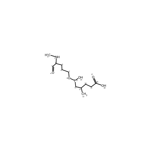 CNC(C=O)CCCOP(O)CC(C)CCC(=O)O